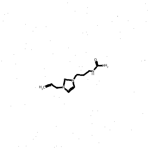 C=CCN1C=CN(CCCNC(N)=O)C1